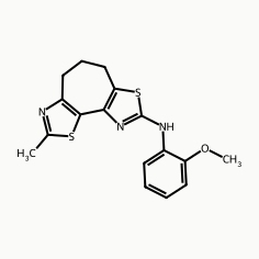 COc1ccccc1Nc1nc2c(s1)CCCc1nc(C)sc1-2